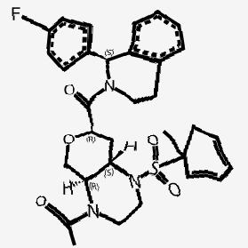 CC(=O)N1CCN(S(=O)(=O)C2(C)C=CC=CC2)[C@H]2C[C@H](C(=O)N3CCc4ccccc4[C@@H]3c3ccc(F)cc3)OC[C@@H]21